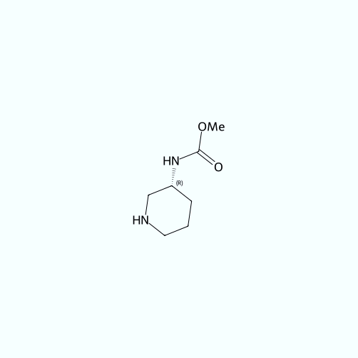 COC(=O)N[C@@H]1CCCNC1